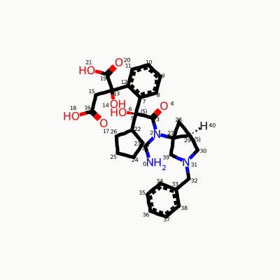 N[CH]N(C(=O)[C@@](O)(c1ccccc1C(O)(CC(=O)O)C(=O)O)C1CCCC1)C12C[C@H]1CN(Cc1ccccc1)C2